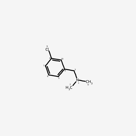 CN(C)Cc1cc[c]c(Cl)c1